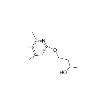 Cc1[c]c(C)nc(OCCC(C)O)c1